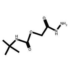 CC(C)(C)NC(=O)OCC(=O)NN